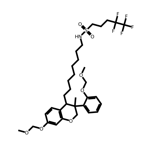 COCOc1ccc2c(c1)OCC(C)(c1ccccc1OCOC)C2CCCCCCCCNS(=O)(=O)CCCC(F)(F)C(F)(F)F